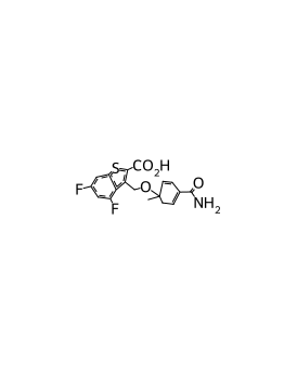 CC1(OCc2c(C(=O)O)sc3cc(F)cc(F)c23)C=CC(C(N)=O)=CC1